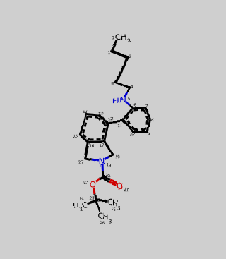 CCCCCNc1ccccc1-c1cccc2c1CN(C(=O)OC(C)(C)C)C2